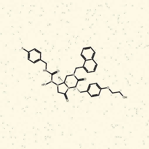 CCCN(C(=O)NCc1ccc(F)cc1)N1CC(=O)N2[C@@H](Cc3ccc(OCCO)cc3)C(=O)N(Cc3cccc4ccccc34)C[C@@H]21